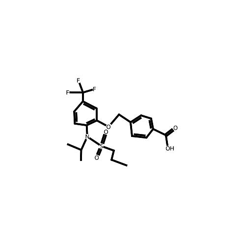 CCCS(=O)(=O)N(c1ccc(C(F)(F)F)cc1OCc1ccc(C(=O)O)cc1)C(C)C